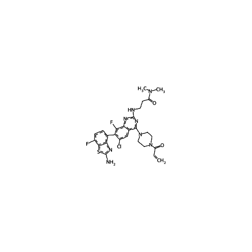 C=CC(=O)N1CCN(c2nc(NCCC(=O)N(C)C)nc3c(F)c(-c4ccc(F)c5sc(N)nc45)c(Cl)cc23)CC1